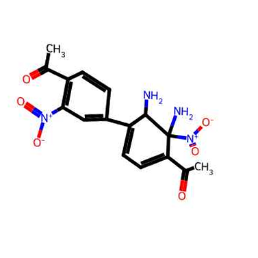 CC(=O)C1=CC=C(c2ccc(C(C)=O)c([N+](=O)[O-])c2)C(N)C1(N)[N+](=O)[O-]